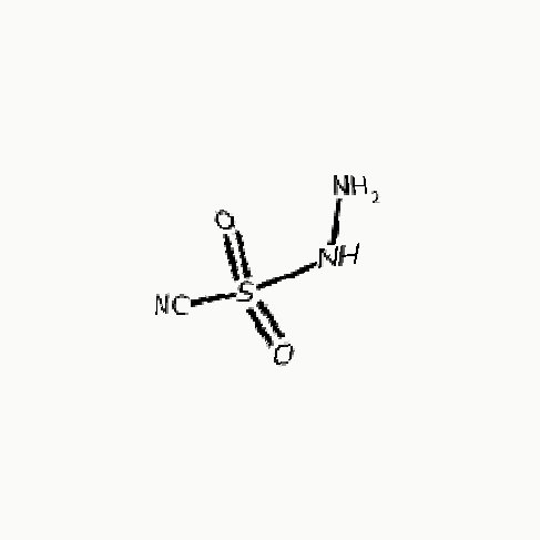 N#CS(=O)(=O)NN